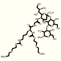 COCCOCCOC(=O)NCCCC[C@H](NC(=O)OCCOCCOC)C(=O)NCC(=O)N[C@H]1C([C@H](O)[C@H](O)CO)O[C@@](O[C@@H]2C(O)[C@H](O[C@@H]3C(C)[C@@H](OC)OC(CO)[C@@H]3O)OC(CO)[C@@H]2O)(C(=O)O)C[C@H]1O